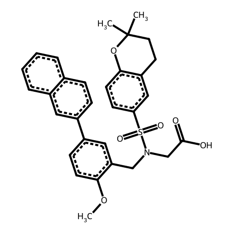 COc1ccc(-c2ccc3ccccc3c2)cc1CN(CC(=O)O)S(=O)(=O)c1ccc2c(c1)CCC(C)(C)O2